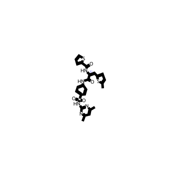 Cc1cc(C)nc(NS(=O)(=O)c2ccc(NC(=O)/C(=C\c3ccc(C)s3)NC(=O)c3cccs3)cc2)n1